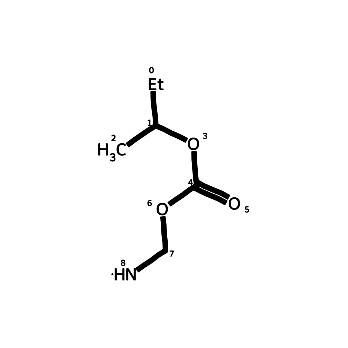 CCC(C)OC(=O)OC[NH]